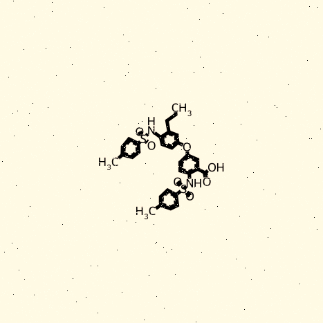 CCCc1cc(Oc2ccc(NS(=O)(=O)c3ccc(C)cc3)c(C(=O)O)c2)ccc1NS(=O)(=O)c1ccc(C)cc1